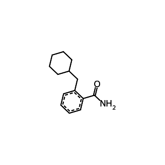 NC(=O)c1ccccc1CC1CCCCC1